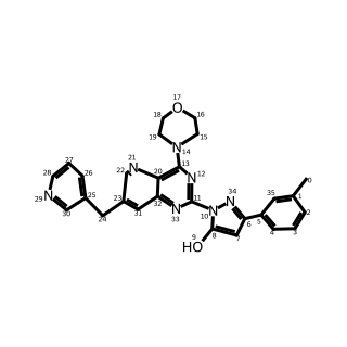 Cc1cccc(-c2cc(O)n(-c3nc(N4CCOCC4)c4ncc(Cc5cccnc5)cc4n3)n2)c1